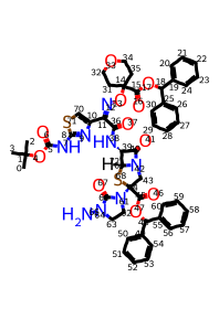 CC(C)(C)OC(=O)Nc1nc(/C(=N/OC2(C(=O)OC(c3ccccc3)c3ccccc3)CCOCC2)C(=O)N[C@@H]2C(=O)N3C[C@@](C(=O)OC(c4ccccc4)c4ccccc4)(N4CCN(N)C4=O)S[C@H]23)cs1